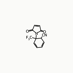 N#CC1C=CC=CC1(N1C(=O)C=CC1=O)C(F)(F)F